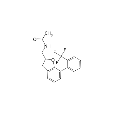 CC(=O)NCC1Cc2cccc(-c3ccccc3C(F)(F)F)c2O1